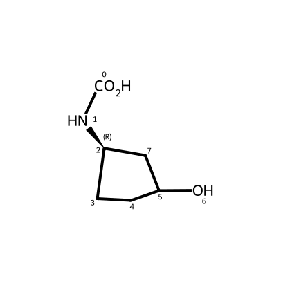 O=C(O)N[C@@H]1CCC(O)C1